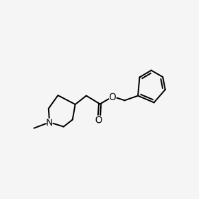 CN1CCC(CC(=O)OCc2ccccc2)CC1